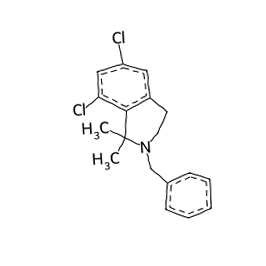 CC1(C)c2c(Cl)cc(Cl)cc2CCN1Cc1ccccc1